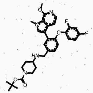 COc1nccc2c(-c3cc(CNC4CCN(C(=O)OC(C)(C)C)CC4)ccc3Oc3ccc(F)cc3F)cn(C)c12